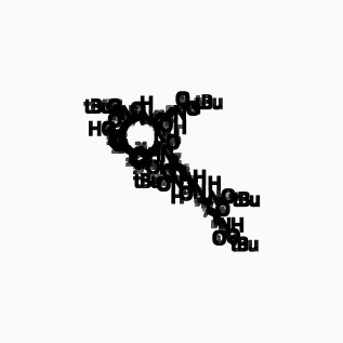 CC(C)(C)OC(=O)NCCC[C@@H](CNC(=O)C[C@H](CCCNC(=O)[C@@H]1Cc2cc(ccc2O)-c2ccc(O)c(c2)C[C@H](NC(=O)OC(C)(C)C)C(=O)N[C@@H](CCCNC(=O)OC(C)(C)C)C(=O)N1)NC(=O)OC(C)(C)C)NC(=O)OC(C)(C)C